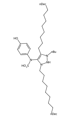 CCCCCCCCCCCCCCCCCCC1=C(N(c2ccc(O)cc2)S(=O)(=O)O)N(CCCCCCCCCCCCCCCCCC)NN1CCCC